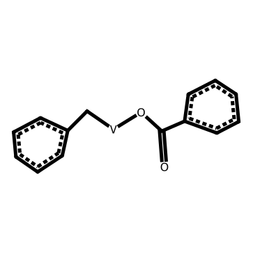 O=C([O][V][CH2]c1ccccc1)c1ccccc1